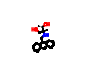 C[C@H](O)[C@@](C)(CO)NCc1c2ccccc2cc2ccccc12